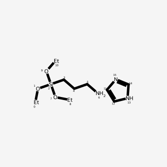 CCO[Si](CCCN)(OCC)OCC.c1c[nH]cn1